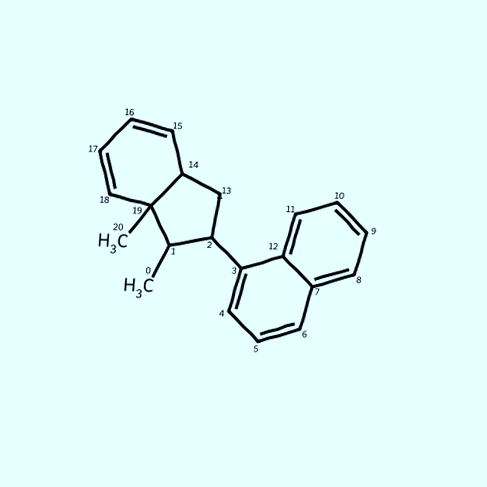 CC1C(c2cccc3ccccc23)[C]C2C=CC=CC21C